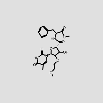 COCCOC1C(O)[C@@H](C(=O)NC(Cc2ccccc2)C(=O)OC)O[C@@H]1n1cc(C)c(=O)[nH]c1=O